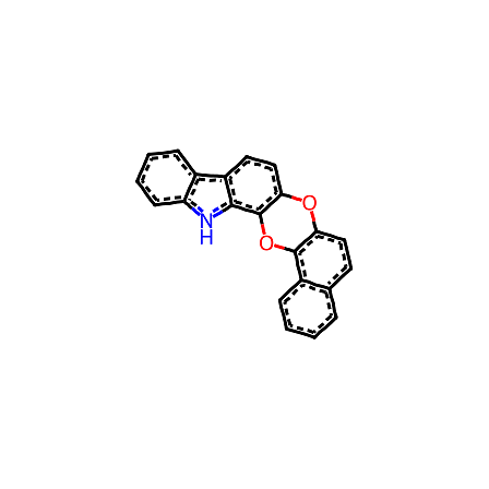 c1ccc2c3c(ccc2c1)Oc1ccc2c([nH]c4ccccc42)c1O3